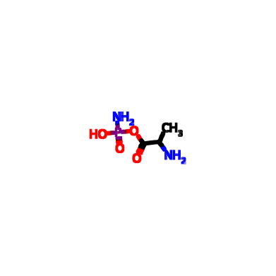 CC(N)C(=O)OP(N)(=O)O